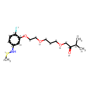 CSNc1ccc(F)c(OCCOCCCOCC(=O)C(C)C)c1